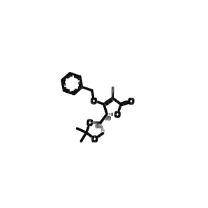 CC1=C(OCc2ccccc2)[C@@H]([C@@H]2COC(C)(C)O2)OC1=O